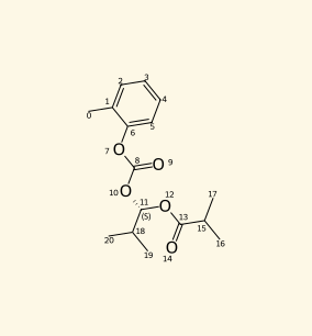 Cc1ccccc1OC(=O)O[C@H](OC(=O)C(C)C)C(C)C